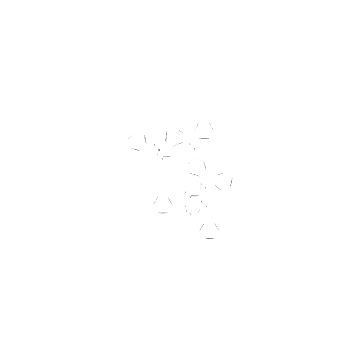 c1ccc(-c2nc(-c3ccccc3)nc(-n3c4ccccc4c4cc(-n5c6ccccc6c6ccc7c(cnn7-c7ccccc7)c65)ccc43)n2)cc1